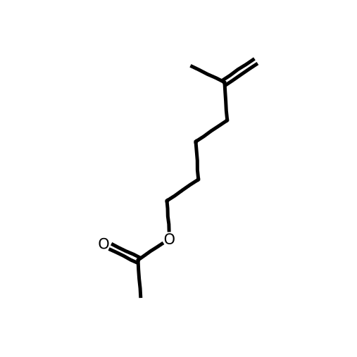 C=C(C)CCCCOC(C)=O